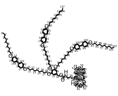 CCCCCCCCCCOc1ccc(-c2ccc(OCCCCCCCCCOc3cc(COC(=O)NCC[SiH2]O[Si]45O[Si](C)(C)O[Si](C)(C)O[Si](C)(C[Si]6(C)O[Si](C)(C)O[Si](C)(C)O[Si](C)(O6)O4)O5)cc(OCCCCCCCCCOc4ccc(-c5ccc(OCCCCCCCCCC)cc5)cc4)c3OCCCCCCCCCOc3ccc(-c4ccc(OCCCCCCCCCC)cc4)cc3)cc2)cc1